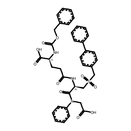 O=C(O)CN(C(=O)[C@H](CS(=O)(=O)Cc1ccc(-c2ccccc2)cc1)NC(=O)CC[C@H](NC(=O)OCc1ccccc1)C(=O)O)c1ccccc1